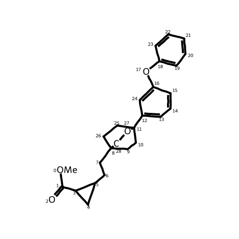 COC(=O)C1CC1CCC12CCC(c3cccc(Oc4ccccc4)c3)(CC1)OC2